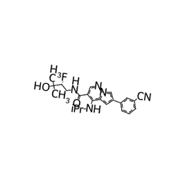 CC(C)Nc1c(C(=O)NC[C@@H](F)C(C)(C)O)cnn2cc(-c3cccc(C#N)c3)cc12